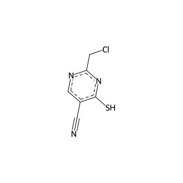 N#Cc1cnc(CCl)nc1S